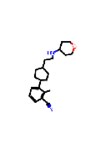 Cc1c(C#N)cccc1C1CCC(CCNC2CCOCC2)CC1